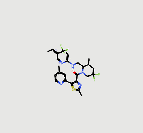 C\C=C(/N=C\C(=C/C)C(F)(F)F)NCC1C(C)CC(F)(F)CN1C(=O)c1nc(C)sc1-c1cc(C)ccn1